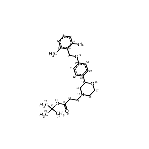 Cc1cccc(Cl)c1COc1ccc(C2CN(CCC(=O)OC(C)(C)C)CCO2)cc1